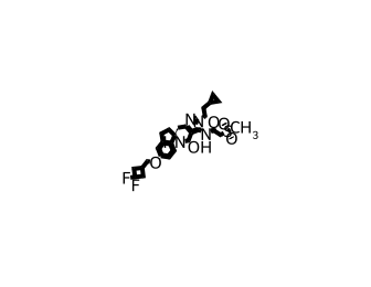 CS(=O)(=O)CC(=O)Nc1c2c(nn1CCC1CC1)C[C@]1(CCc3cc(OCC4CC(F)(F)C4)ccc31)NC2=O